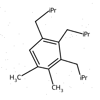 Cc1cc(CC(C)C)c(CC(C)C)c(CC(C)C)c1C